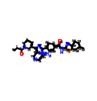 CCC(=O)N1CCCC(C2=C3C=NC=C[N+]3(N)C(c3ccc(C(=O)Nc4nc5c(s4)CC(C)CC5)cc3)=N2)C1